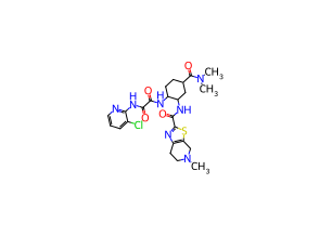 CN1CCc2nc(C(=O)NC3CC(C(=O)N(C)C)CCC3NC(=O)C(=O)Nc3ncccc3Cl)sc2C1